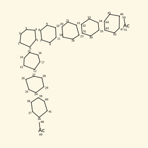 C1CCCCC1.C1CCCCC1.C1CCCCC1.C1CCCCC1.C1CCCCC1.C1CCCCC1.C1CCCCC1.C1CCCCC1.CC(C)=O.CC(C)=O